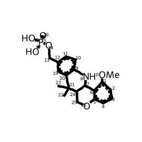 COc1cccc2c1C1Nc3ccc(COP(=O)(O)O)cc3C(C)(C)C1CO2